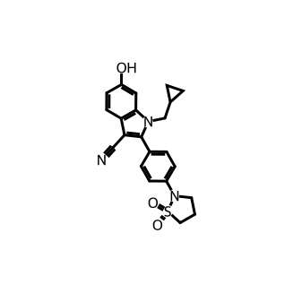 N#Cc1c(-c2ccc(N3CCCS3(=O)=O)cc2)n(CC2CC2)c2cc(O)ccc12